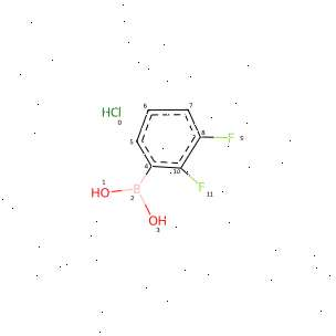 Cl.OB(O)c1cccc(F)c1F